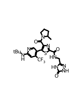 CC1CCCN1C(=O)c1nc(C(=O)NCc2n[nH]c(=O)[nH]2)sc1-c1cnc(NC(C)(C)C)cc1C(F)(F)F